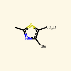 CCOC(=O)c1sc(C)nc1C(C)(C)C